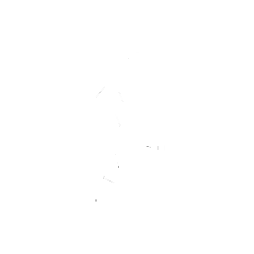 C=C1CC[C@@H](O)C/C1=C/C=C1\C[C@@H](O)C[C@]2(C)[C@@H](C(=O)CO)CC[C@@H]12